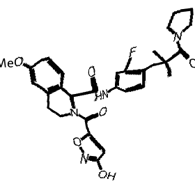 COc1ccc2c(c1)CCN(C(=O)c1cc(O)no1)C2C(=O)Nc1ccc(C(C)(C)C(=O)N2CCCC2)c(F)c1